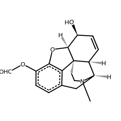 CN1CC[C@]23c4c5ccc(OC=O)c4O[C@H]2[C@@H](O)C=C[C@H]3[C@H]1C5